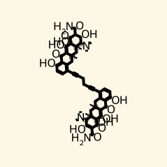 CN(C)[C@@H]1C(O)=C(C(N)=O)C(=O)[C@@]2(O)C(O)=C3C(=O)c4c(O)ccc(C#CCCC#Cc5ccc(O)c6c5C[C@@]5(C)C[C@@]7(C)[C@H](N(C)C)C(O)C(C(N)=O)C(=O)[C@@]7(O)C(O)=C5C6=O)c4C[C@@]3(C)C[C@@]12C